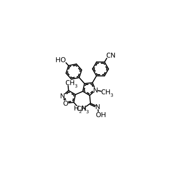 Cc1noc(C)c1-c1c(-c2ccc(O)cc2)c(-c2ccc(C#N)cc2)n(C)c1/C(N)=N/O